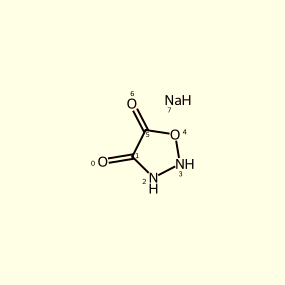 O=c1[nH][nH]oc1=O.[NaH]